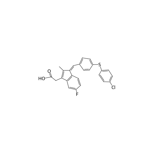 CC1=C(CC(=O)O)c2cc(F)ccc2/C1=C\c1ccc(Sc2ccc(Cl)cc2)cc1